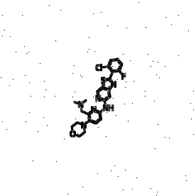 CN(C)Cc1nc(Nc2cc3nc(-c4c(F)cccc4Cl)sc3cn2)ccc1N1CCOCC1